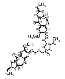 C/C=C1\C[C@H]2C=Nc3cc(OCCCP(=O)(CCCC)CCCOc4cc5c(cc4OC)C(=O)N4C/C(=C/C)C[C@H]4C=N5)c(OC)cc3C(=O)N2C1